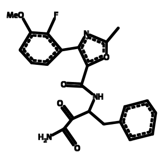 COc1cccc(-c2nc(C)oc2C(=O)NC(Cc2ccccc2)C(=O)C(N)=O)c1F